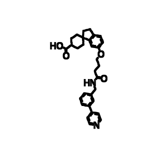 O=C(CCCOc1ccc2c(c1)C1(CC2)CCC(C(=O)O)CC1)NCc1cccc(-c2ccncc2)c1